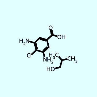 CC(C)CO.Nc1cc(C(=O)O)cc(N)c1Cl